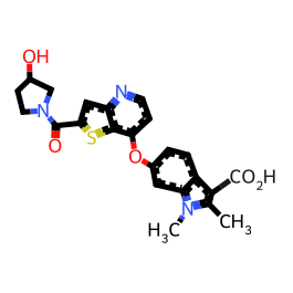 Cc1c(C(=O)O)c2ccc(Oc3ccnc4cc(C(=O)N5CCC(O)C5)sc34)cc2n1C